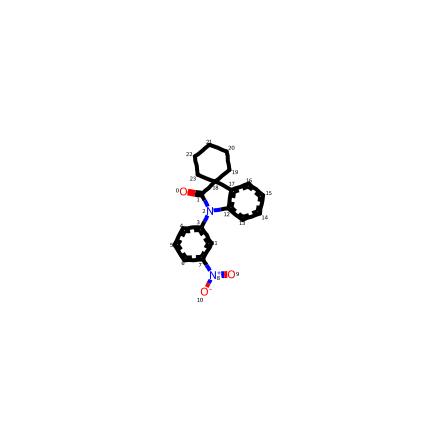 O=C1N(c2cccc([N+](=O)[O-])c2)c2ccccc2C12CCCCC2